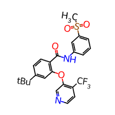 CC(C)(C)c1ccc(C(=O)Nc2cccc(S(C)(=O)=O)c2)c(Oc2cnccc2C(F)(F)F)c1